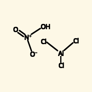 O=[N+]([O-])O.[Cl][Al]([Cl])[Cl]